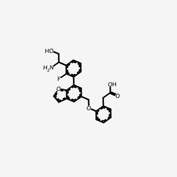 NC(CO)c1cccc(-c2cc(COc3ccccc3CC(=O)O)cc3ccoc23)c1F